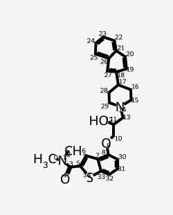 CN(C)C(=O)c1cc2c(OCC(O)CN3CCC(c4ccc5ccccc5c4)CC3)cccc2s1